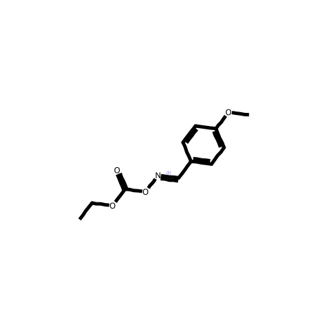 CCOC(=O)O/N=C/c1ccc(OC)cc1